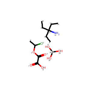 CC(Cl)OC(=O)C(=O)O.CCC(N)(CC)CC.OB(O)O